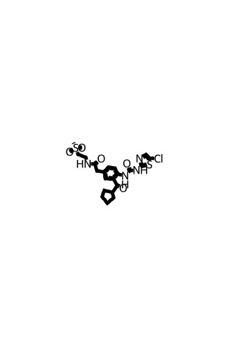 CS(=O)(=O)CCNC(=O)Cc1ccc(NC(=O)Nc2ncc(Cl)s2)c(C(=O)C2CCCC2)c1